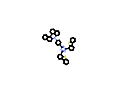 c1ccc2c3c(ccc2c1)N(c1ccc(-c2nc(-c4cccc5c4sc4ccccc45)nc(-c4cccc5c4sc4ccccc45)n2)cc1)c1cccc2cccc-3c12